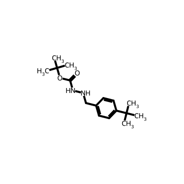 CC(C)(C)OC(=O)NNCc1ccc(C(C)(C)C)cc1